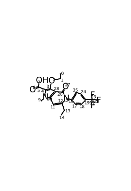 CCOc1c(C(=O)O)n(C)c2cc(CC)n(-c3ccc(C(F)(F)F)cc3)c(=O)c12